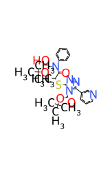 CC(Sc1nnc(-c2cccnc2)n1C(=O)OC(C)(C)C)C(=O)N(c1ccccc1)C(O)OC(C)(C)C